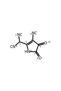 [C-]#[N+]C1=C(C([N+]#[C-])[N+]#[C-])NC(=O)C1=O